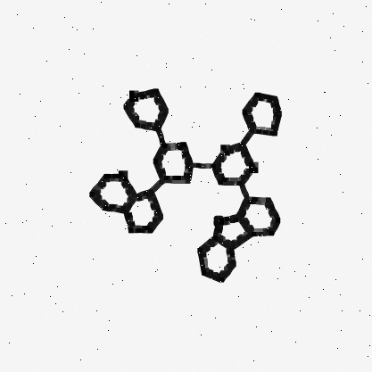 c1ccc(-c2nc(-c3cc(-c4ccncc4)cc(-c4cccc5cccnc45)c3)cc(-c3cccc4c3oc3ccccc34)n2)cc1